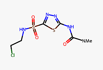 CNC(=O)Nc1nnc(S(=O)(=O)NCCCl)s1